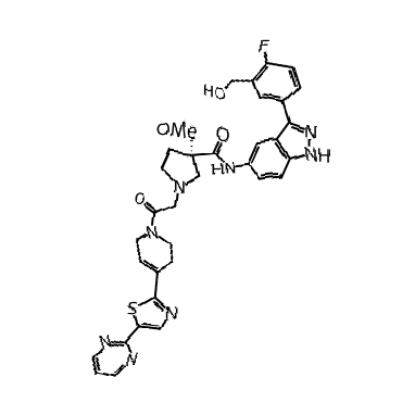 CO[C@@]1(C(=O)Nc2ccc3[nH]nc(-c4ccc(F)c(CO)c4)c3c2)CCN(CC(=O)N2CC=C(c3ncc(-c4ncccn4)s3)CC2)C1